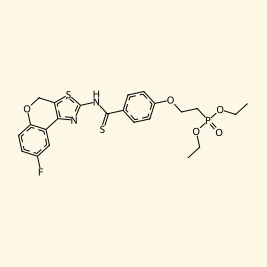 CCOP(=O)(CCOc1ccc(C(=S)Nc2nc3c(s2)COc2ccc(F)cc2-3)cc1)OCC